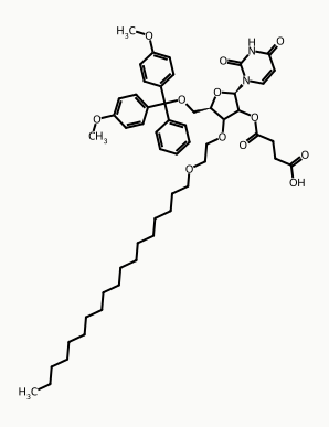 CCCCCCCCCCCCCCCCCCOCCOC1C(OC(=O)CCC(=O)O)[C@H](n2ccc(=O)[nH]c2=O)O[C@@H]1COC(c1ccccc1)(c1ccc(OC)cc1)c1ccc(OC)cc1